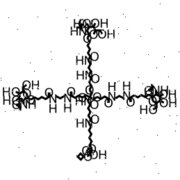 CC(=O)NC1C(OCCCCC(=O)NCCCNC(=O)CCOCC(COCCC(=O)NCCCNC(=O)CCCCOC2OC(CO)C(O)C(O)C2NC(C)=O)(COCCC(=O)NCCCNC(=O)CCCCOC2OC(CO)C(O)C(O)C2NC(C)=O)NC(=O)CCCC(=O)NCCCCCCOP(=O)(O)OC2CCC2)OC(CO)C(O)C1O